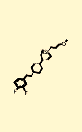 COCCC[Si@H]1CC[C@H]([C@H]2CC[C@H](CCc3ccc(F)c(F)c3)CC2)CC1